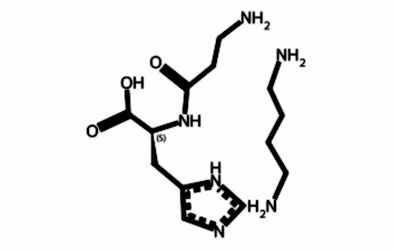 NCCC(=O)N[C@@H](Cc1cnc[nH]1)C(=O)O.NCCCCN